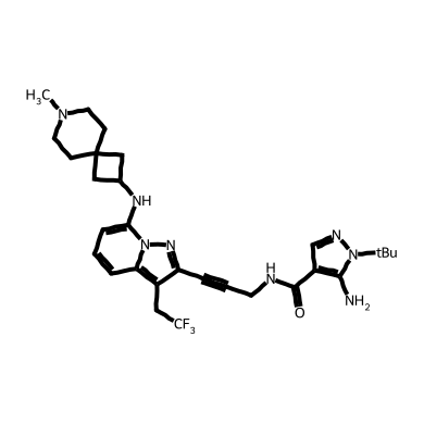 CN1CCC2(CC1)CC(Nc1cccc3c(CC(F)(F)F)c(C#CCNC(=O)c4cnn(C(C)(C)C)c4N)nn13)C2